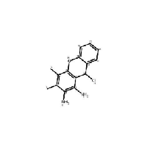 Cc1c(C)c2c(c(N)c1N)C(Cl)c1ccccc1O2